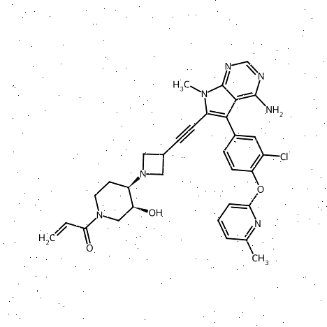 C=CC(=O)N1CC[C@@H](N2CC(C#Cc3c(-c4ccc(Oc5cccc(C)n5)c(Cl)c4)c4c(N)ncnc4n3C)C2)[C@@H](O)C1